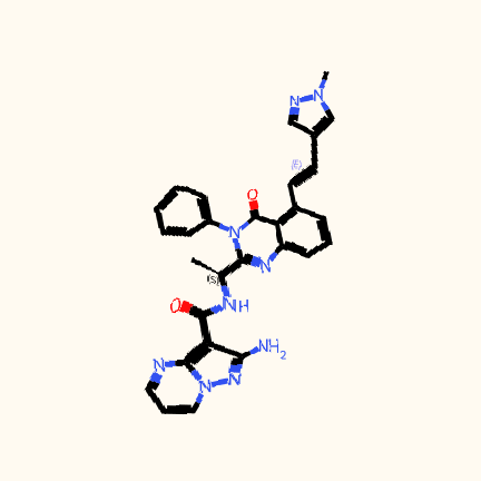 C[C@H](NC(=O)c1c(N)nn2cccnc12)c1nc2cccc(/C=C/c3cnn(C)c3)c2c(=O)n1-c1ccccc1